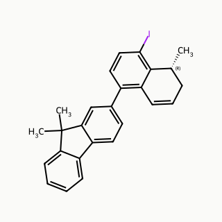 C[C@@H]1CC=Cc2c(-c3ccc4c(c3)C(C)(C)c3ccccc3-4)ccc(I)c21